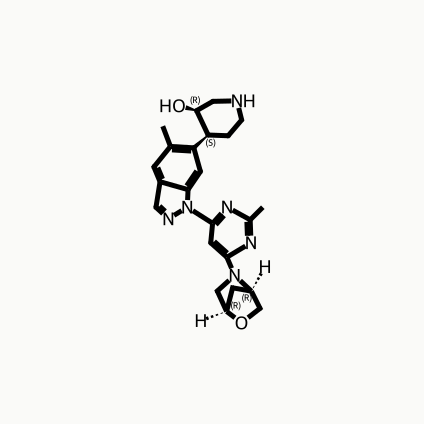 Cc1nc(N2C[C@H]3C[C@@H]2CO3)cc(-n2ncc3cc(C)c([C@@H]4CCNC[C@@H]4O)cc32)n1